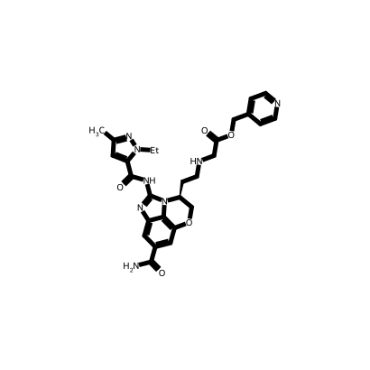 CCn1nc(C)cc1C(=O)Nc1nc2cc(C(N)=O)cc3c2n1[C@@H](CCNCC(=O)OCc1ccncc1)CO3